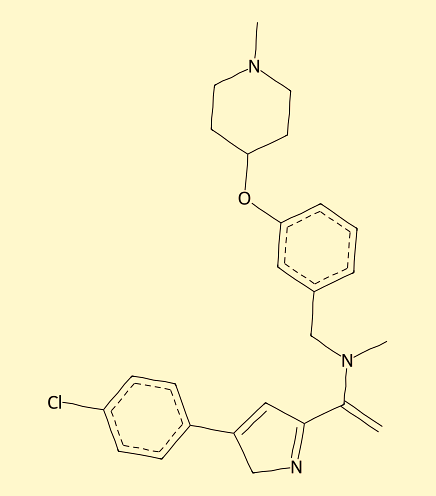 C=C(C1=NCC(c2ccc(Cl)cc2)=C1)N(C)Cc1cccc(OC2CCN(C)CC2)c1